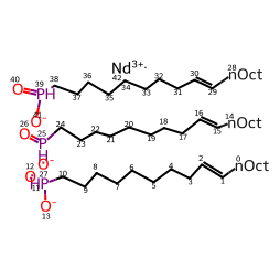 CCCCCCCCC=CCCCCCCCC[PH](=O)[O-].CCCCCCCCC=CCCCCCCCC[PH](=O)[O-].CCCCCCCCC=CCCCCCCCC[PH](=O)[O-].[Nd+3]